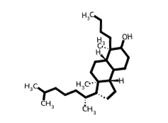 CCCC[C@@]1(C)C(O)CCC2[C@@H]3CC[C@H]([C@H](C)CCCC(C)C)[C@@]3(C)CC[C@@H]21